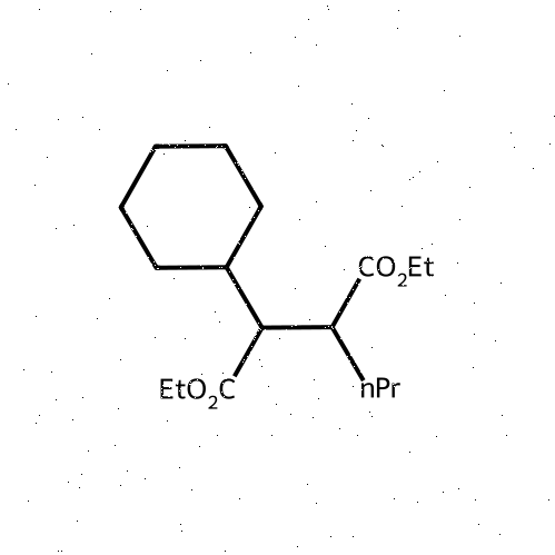 CCCC(C(=O)OCC)C(C(=O)OCC)C1CCCCC1